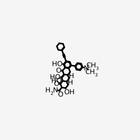 CN(C)c1ccc(-c2cc(C#CC3=CCCCC3)c(O)c3c2C[C@H]2C[C@H]4CC(O)C(C(N)=O)C(=O)[C@@]4(O)C(O)=C2C3=O)cc1